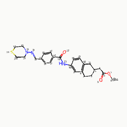 CCCCOC(=O)CC1CCc2cc(NC(=O)c3ccc(/C=N/N4CCSCC4)cc3)ccc2C1